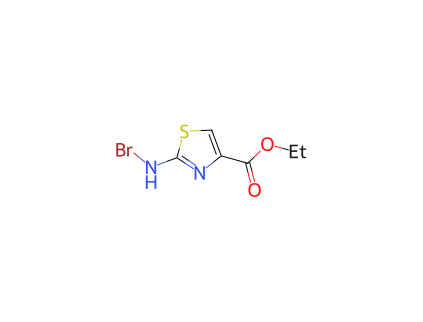 CCOC(=O)c1csc(NBr)n1